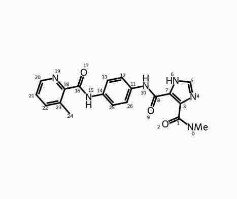 CNC(=O)c1nc[nH]c1C(=O)Nc1ccc(NC(=O)c2ncccc2C)cc1